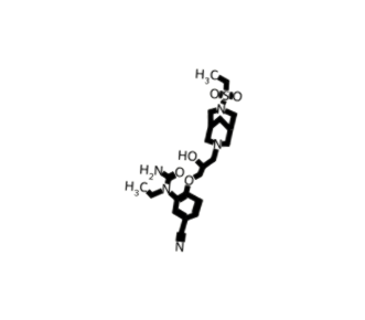 CCN(C(N)=O)c1cc(C#N)ccc1OCC(O)CN1CC2CC(C1)CN(S(=O)(=O)CC)C2